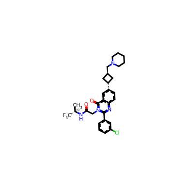 C[C@H](NC(=O)Cn1c(-c2cccc(Cl)c2)nc2ccc([C@H]3C[C@H](CN4CCCCC4)C3)cc2c1=O)C(F)(F)F